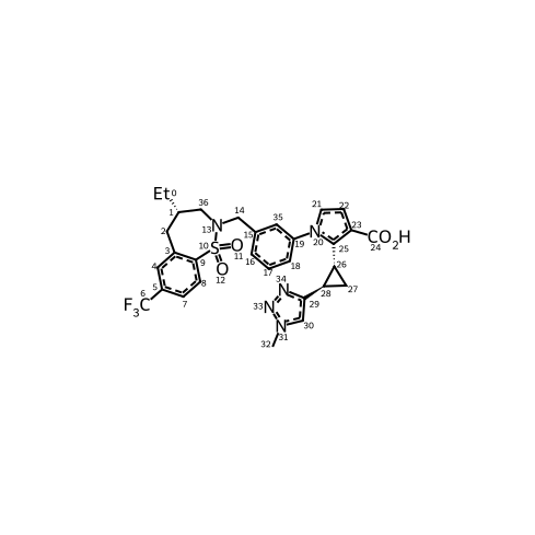 CC[C@H]1Cc2cc(C(F)(F)F)ccc2S(=O)(=O)N(Cc2cccc(-n3ccc(C(=O)O)c3[C@@H]3C[C@H]3c3cn(C)nn3)c2)C1